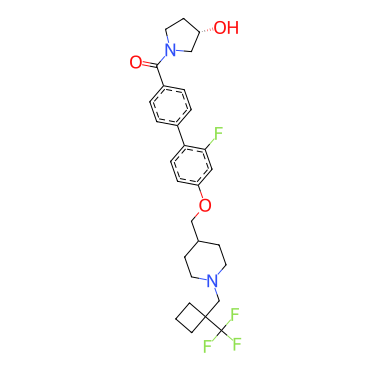 O=C(c1ccc(-c2ccc(OCC3CCN(CC4(C(F)(F)F)CCC4)CC3)cc2F)cc1)N1CC[C@H](O)C1